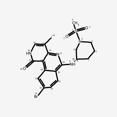 CS(=O)(=O)N1CCC[C@H](Nc2nc3c(I)c[nH]c(=O)c3c3cc(Br)ccc23)C1